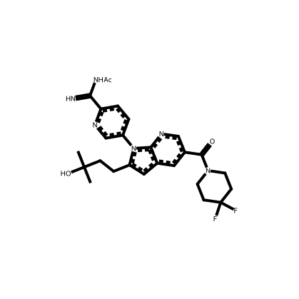 CC(=O)NC(=N)c1ccc(-n2c(CCC(C)(C)O)cc3cc(C(=O)N4CCC(F)(F)CC4)cnc32)cn1